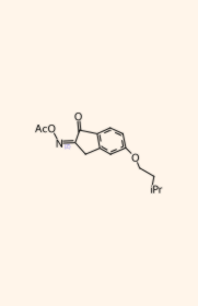 CC(=O)O/N=C1/Cc2cc(OCCC(C)C)ccc2C1=O